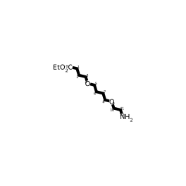 CCOC(=O)CCCOCCCCOCCN